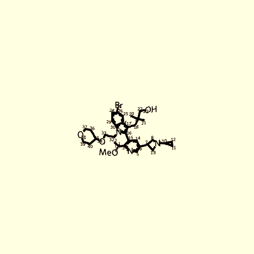 CO[C@@H](C)c1ncc(C2CN(C3CC3)C2)cc1-c1c(CC(C)(C)CO)c2cc(Br)ccc2n1CCOC1CCOCC1